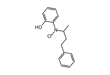 CC(CCc1ccccc1)N(Cl)c1ccccc1O